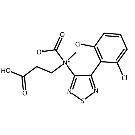 C[N+](CCC(=O)O)(C(=O)[O-])c1nsnc1-c1c(Cl)cccc1Cl